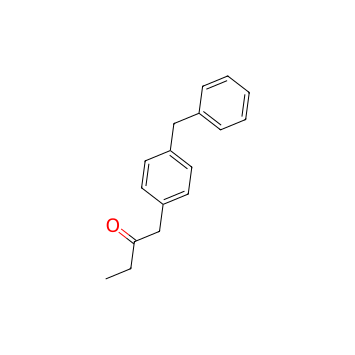 CCC(=O)Cc1ccc(Cc2ccccc2)cc1